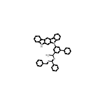 NC(/N=C(\N=C\c1ccccc1)c1ccccc1)c1cc(-c2ccccc2)cc(-n2c3ccccc3c3cc4c(cc32)[nH]c2ccccc24)c1